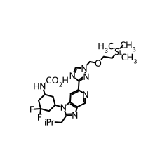 CC(C)Cc1nc2cnc(-c3ncn(COCC[Si](C)(C)C)n3)cc2n1C1CC(NC(=O)O)CC(F)(F)C1